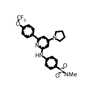 CNS(=O)(=O)c1ccc(Nc2cc(N3CCCC3)cc(-c3ccc(OC(F)(F)F)cc3)n2)cc1